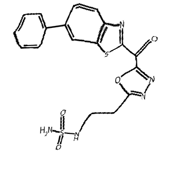 NS(=O)(=O)NCCc1nnc(C(=O)c2nc3ccc(-c4ccccc4)cc3s2)o1